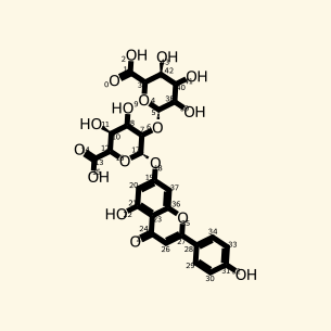 O=C(O)C1O[C@@H](OC2C(O)[C@H](O)C(C(=O)O)O[C@H]2Oc2cc(O)c3c(=O)cc(-c4ccc(O)cc4)oc3c2)C(O)C(O)[C@@H]1O